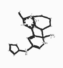 Cc1noc(C2=CC(NC3CCCC3)=CNC2(N)C2CCCCC2)n1